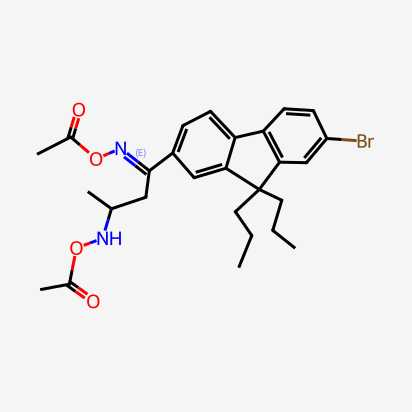 CCCC1(CCC)c2cc(Br)ccc2-c2ccc(/C(CC(C)NOC(C)=O)=N/OC(C)=O)cc21